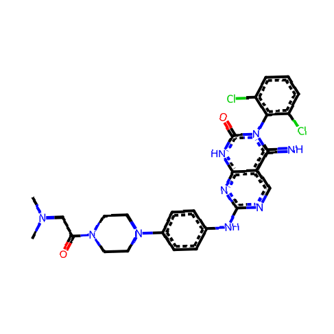 CN(C)CC(=O)N1CCN(c2ccc(Nc3ncc4c(=N)n(-c5c(Cl)cccc5Cl)c(=O)[nH]c4n3)cc2)CC1